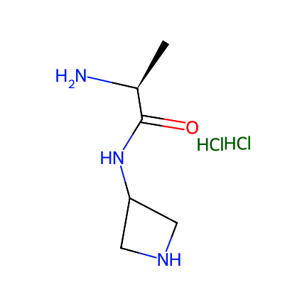 C[C@H](N)C(=O)NC1CNC1.Cl.Cl